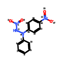 O=[N+]([O-])NN(c1ccccc1)c1ccc([N+](=O)[O-])cc1